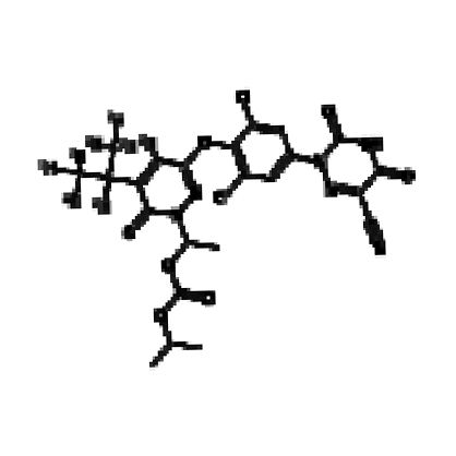 [2H]c1c(Oc2c(Cl)cc(-n3nc(C#N)c(=O)[nH]c3=O)cc2Cl)nn(C(C)OC(=O)OC(C)C)c(=O)c1C([2H])(C([2H])([2H])[2H])C([2H])([2H])[2H]